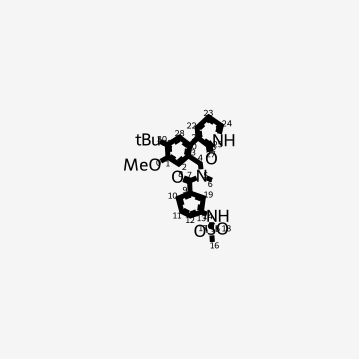 COc1cc(CN(C)C(=O)c2cccc(NS(C)(=O)=O)c2)c(-c2ccc[nH]c2=O)cc1C(C)(C)C